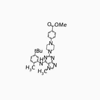 COC(=O)c1ccc(N2CCN(c3nc(Nc4cc(C(C)(C)C)ccc4C)c4c(ncn4C)n3)CC2)cc1